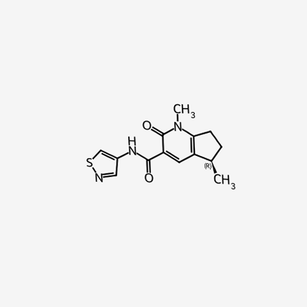 C[C@@H]1CCc2c1cc(C(=O)Nc1cnsc1)c(=O)n2C